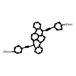 CCCCCc1ccc(C#Cc2c3ccccc3c3ccc4c(C#Cc5ccc(CCCCC)cc5)c5ccccc5c5ccc2c3c45)cc1